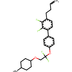 C=CCCc1ccc(-c2ccc(OC(F)(F)COC3CCC(CCCC)CC3)cc2)c(F)c1F